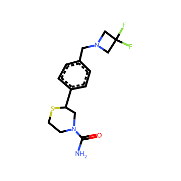 NC(=O)N1CCSC(c2ccc(CN3CC(F)(F)C3)cc2)C1